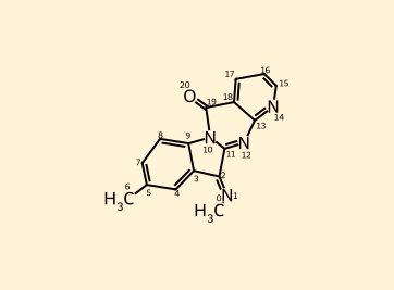 C/N=C1\c2cc(C)ccc2-n2c1nc1ncccc1c2=O